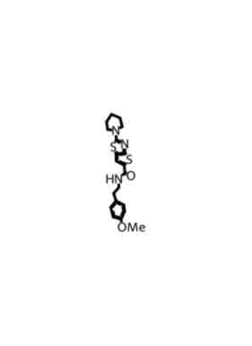 COc1ccc(CCNC(=O)c2cc3sc(N4CCCCC4)nc3s2)cc1